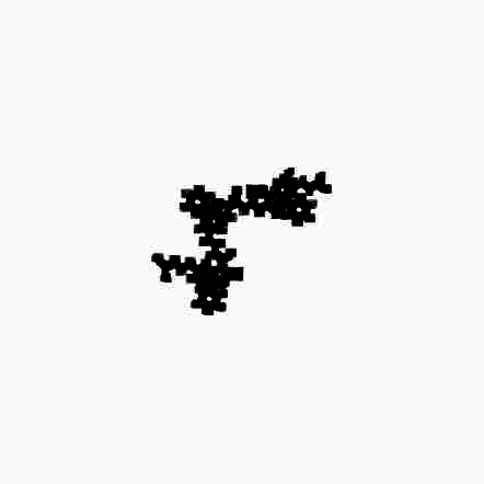 CC(C)=CCCC(C)=CC(C(O)C(C)=CCCC(C)=CCC(C=C(C)CCC=C(C)C(O)C(C=C(C)CCC=C(C)C)S(=O)(=O)c1ccccc1)S(=O)(=O)c1ccccc1)S(=O)(=O)c1ccccc1